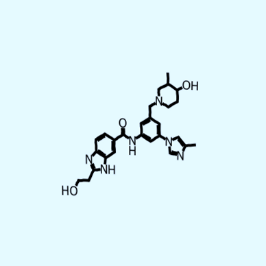 Cc1cn(-c2cc(CN3CCC(O)C(C)C3)cc(NC(=O)c3ccc4nc(CCO)[nH]c4c3)c2)cn1